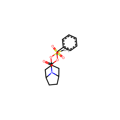 CS(=O)(=O)OC1CC2CCC(C1)N2C(=O)OCc1ccccc1